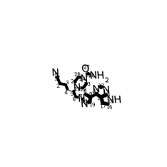 N#CCCC[C@@H](Cn1cc(-c2ncnc3[nH]ccc23)cn1)N1CCN(C(N)=O)CC1